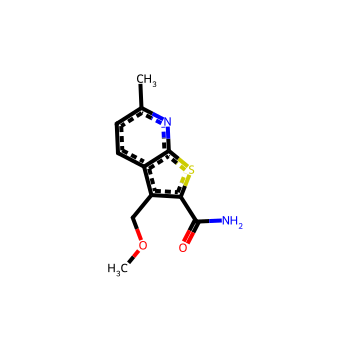 COCc1c(C(N)=O)sc2nc(C)ccc12